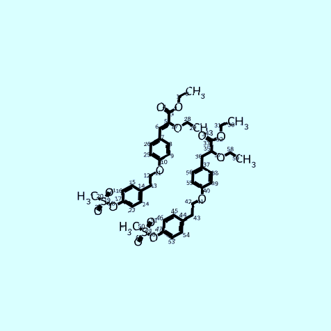 CCOC(=O)C(=Cc1ccc(OCCc2ccc(OS(C)(=O)=O)cc2)cc1)OCC.CCOC(=O)C(Cc1ccc(OCCc2ccc(OS(C)(=O)=O)cc2)cc1)OCC